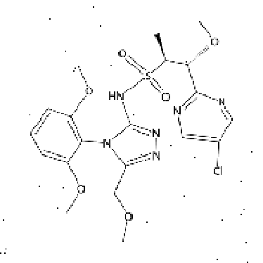 COCc1nnc(NS(=O)(=O)[C@@H](C)[C@H](OC)c2ncc(Cl)cn2)n1-c1c(OC)cccc1OC